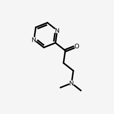 CN(C)CCC(=O)c1cnccn1